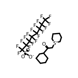 O=C(C[S+]1CCCCC1)C1CCCCC1.O=S(=O)([O-])C(F)(F)C(F)(F)C(F)(F)C(F)(F)C(F)(F)C(F)(F)C(F)(F)C(F)(F)F